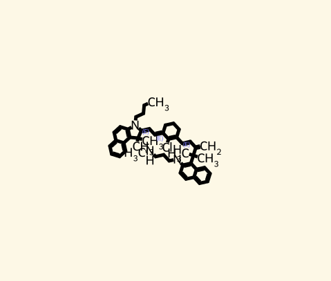 C=C(/C=C/C1=C(Cl)C(=C/C=C2/N(CCCC)c3ccc4ccccc4c3C2(C)C)/CCC1)C(C)(C)c1c(NCCCNC)ccc2ccccc12